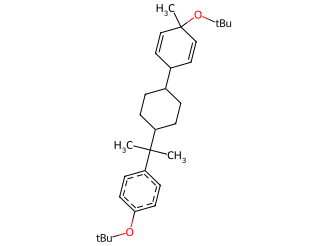 CC(C)(C)Oc1ccc(C(C)(C)C2CCC(C3C=CC(C)(OC(C)(C)C)C=C3)CC2)cc1